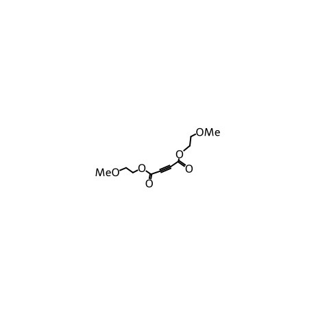 COCCOC(=O)C#CC(=O)OCCOC